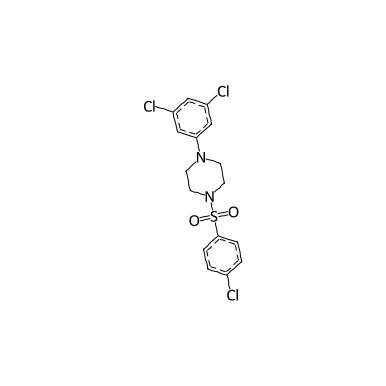 O=S(=O)(c1ccc(Cl)cc1)N1CCN(c2cc(Cl)cc(Cl)c2)CC1